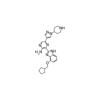 Nc1ncc(-c2cnn(C3CCNCC3)c2)nc1-c1nc2c(OCC3CCCC3)cccc2[nH]1